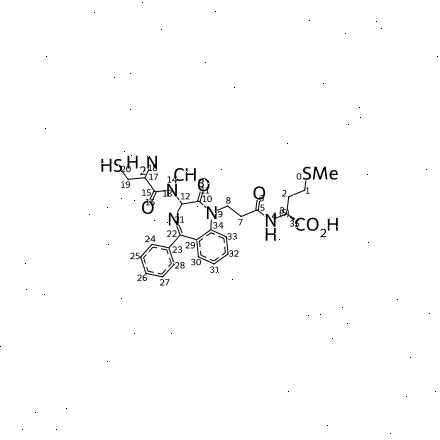 CSCC[C@H](NC(=O)CCN1C(=O)C(N(C)C(=O)C(N)CS)N=C(c2ccccc2)c2ccccc21)C(=O)O